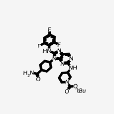 CC(C)(C)OC(=O)N1CCCC(Nc2ncc3nc(Nc4c(F)cc(F)cc4F)n(C4CCC(C(N)=O)CC4)c3n2)C1